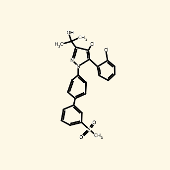 CC(C)(O)c1nn(-c2ccc(-c3cccc(S(C)(=O)=O)c3)cc2)c(-c2ccccc2Cl)c1Cl